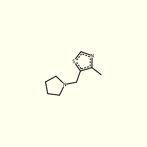 Cc1ncsc1CN1CCCC1